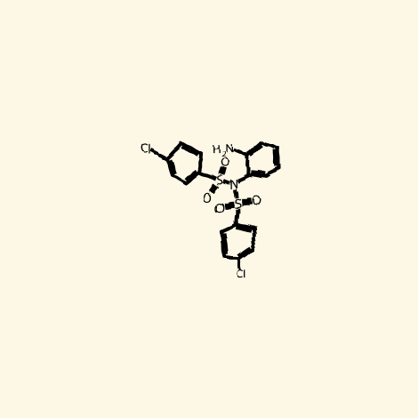 Nc1ccccc1N(S(=O)(=O)c1ccc(Cl)cc1)S(=O)(=O)c1ccc(Cl)cc1